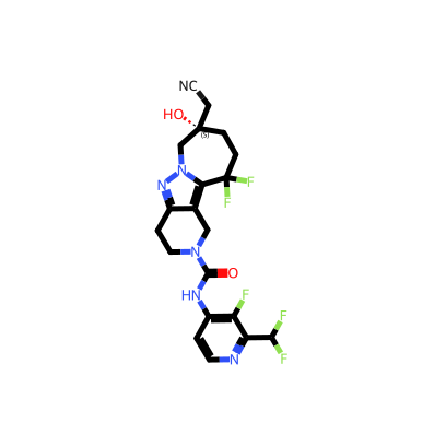 N#CC[C@@]1(O)CCC(F)(F)c2c3c(nn2C1)CCN(C(=O)Nc1ccnc(C(F)F)c1F)C3